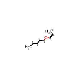 C/C=C\OCCCCC